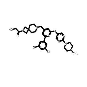 CN1CCN(c2ncc(Oc3cc(CN4CCC5(CC4)CN(C(=O)CO)C5)cc(-c4cc(Cl)cc(Cl)c4)n3)cn2)CC1